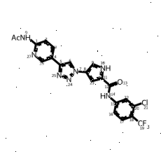 CC(=O)Nc1ccc(-c2cn(-c3c[nH]c(C(=O)Nc4ccc(C(F)(F)F)c(Cl)c4)c3)nn2)cn1